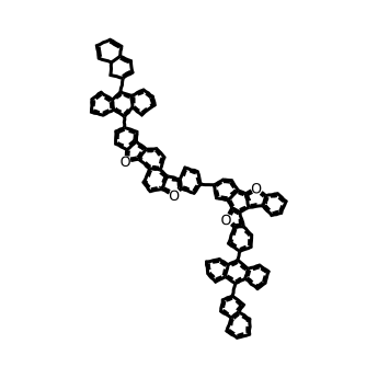 C1=CC2=CC=C(c3c4ccccc4c(-c4ccc5oc6c(ccc7c6ccc6oc8cc(-c9ccc%10c(c9)c9oc%11cc(-c%12c%13ccccc%13c(-c%13ccc%14ccccc%14c%13)c%13ccccc%12%13)ccc%11c9c9c%11ccccc%11oc%109)ccc8c67)c5c4)c4ccccc34)CC2C=C1